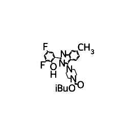 Cc1ccc2c(N3CCN(C(=O)OCC(C)C)CC3)nc(-c3cc(F)cc(F)c3O)nc2c1